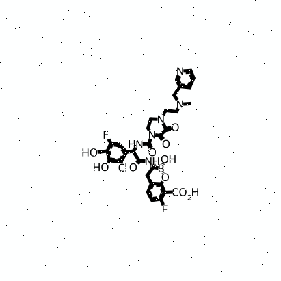 CN(CCN1CCN(C(=O)NC(C(=O)N[C@H]2Cc3ccc(F)c(C(=O)O)c3OB2O)c2cc(F)c(O)c(O)c2Cl)C(=O)C1=O)Cc1cccnc1